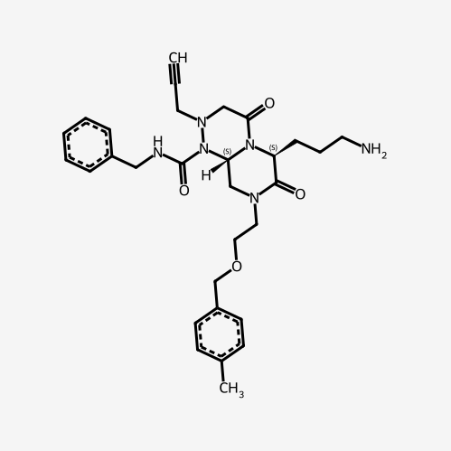 C#CCN1CC(=O)N2[C@@H](CCCN)C(=O)N(CCOCc3ccc(C)cc3)C[C@@H]2N1C(=O)NCc1ccccc1